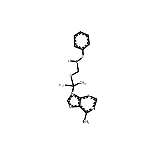 CC(C)(OCP(Cl)Oc1ccccc1)n1cnc2c(N)ncnc21